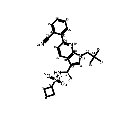 C[C@@H](NS(=O)(=O)C1CCC1)c1cn(CC(C)(C)C)c2nc(-c3ccccc3C#N)ccc12